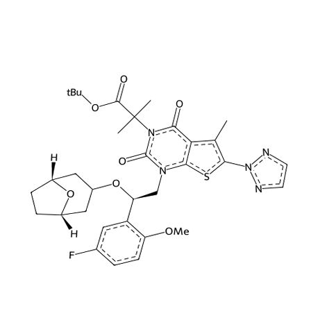 COc1ccc(F)cc1[C@H](Cn1c(=O)n(C(C)(C)C(=O)OC(C)(C)C)c(=O)c2c(C)c(-n3nccn3)sc21)OC1C[C@H]2CC[C@@H](C1)O2